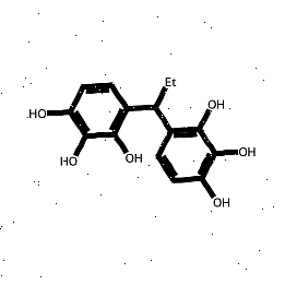 CCC(c1ccc(O)c(O)c1O)c1ccc(O)c(O)c1O